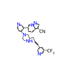 N#Cc1cnn2cc(-c3cnccc3N3CCNC(CC#Cc4cncc(C(F)(F)F)c4)C3)ccc12